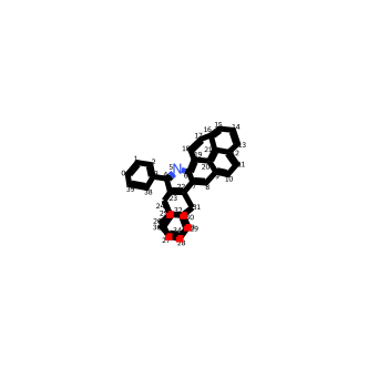 c1ccc(-c2nc3c(cc4ccc5cccc6ccc3c4c56)c3c2C2c4ccccc4C3c3ccccc32)cc1